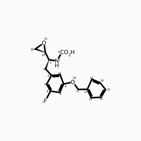 O=C(O)N[C@@H](Cc1cc(F)cc(OCc2ccccc2)c1)[C@H]1CO1